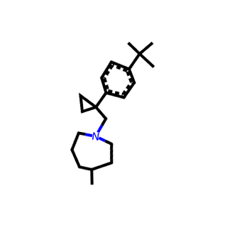 CC1CCCN(CC2(c3ccc(C(C)(C)C)cc3)CC2)CC1